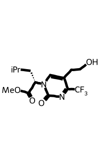 COC(=O)[C@H](CC(C)C)n1cc(CCO)c(C(F)(F)F)nc1=O